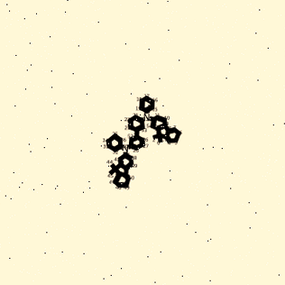 CC1(C)C2=CCCC=C2c2ccc(N(c3ccccc3)c3cccc(-c4cccc(N(c5ccccc5)c5ccc6c(c5)C(C)(C)c5ccccc5-6)c4)c3)cc21